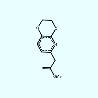 COC(=O)Cc1ccc2c(n1)OCCO2